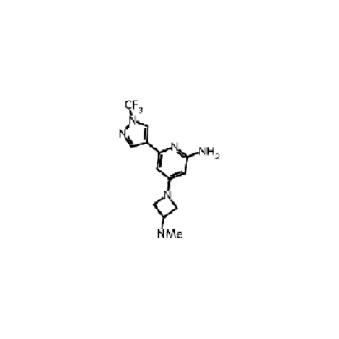 CNC1CN(c2cc(N)nc(-c3cnn(C(F)(F)F)c3)c2)C1